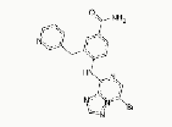 NC(=O)c1ccc(Nc2ncc(Br)n3ncnc23)c(Cc2cccnc2)c1